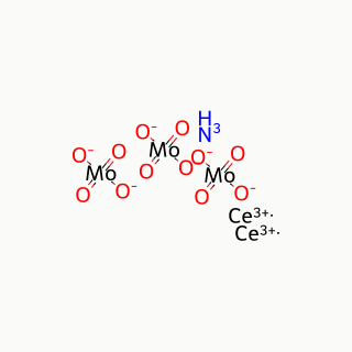 N.[Ce+3].[Ce+3].[O]=[Mo](=[O])([O-])[O-].[O]=[Mo](=[O])([O-])[O-].[O]=[Mo](=[O])([O-])[O-]